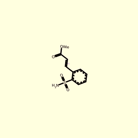 COC(=O)/C=C/c1ccccc1S(N)(=O)=O